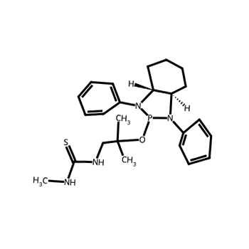 CNC(=S)NCC(C)(C)OP1N(c2ccccc2)[C@@H]2CCCC[C@H]2N1c1ccccc1